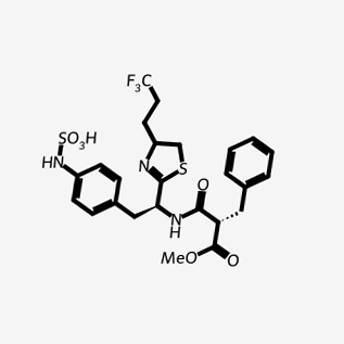 COC(=O)[C@@H](Cc1ccccc1)C(=O)N[C@@H](Cc1ccc(NS(=O)(=O)O)cc1)C1=NC(CCC(F)(F)F)CS1